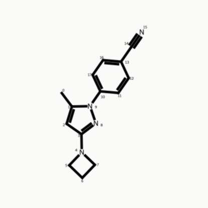 Cc1cc(N2CCC2)nn1-c1ccc(C#N)cc1